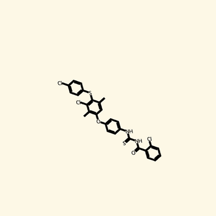 Cc1cc(Oc2ccc(NC(=S)NC(=O)c3ccccc3Cl)cc2)c(C)c(Cl)c1Sc1ccc(Cl)cc1